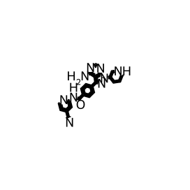 N#Cc1ccnc(NC(=O)c2ccc(-c3nn(C4CCCNC4)c4ncnc(N)c34)cc2)c1